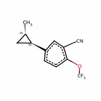 C[C@H]1C[C@@H]1c1ccc(OC(F)(F)F)c(C#N)c1